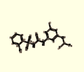 Cc1cc(OC(F)F)nc(NC(=O)NS(=O)(=O)c2ccccc2Cl)n1